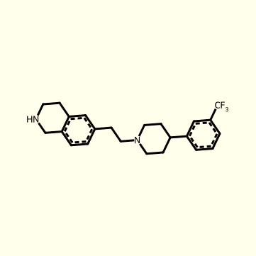 FC(F)(F)c1cccc(C2CCN(CCc3ccc4c(c3)CCNC4)CC2)c1